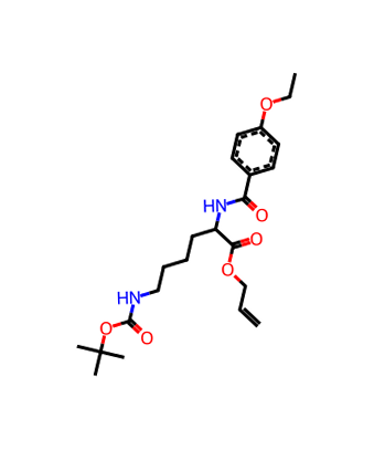 C=CCOC(=O)C(CCCCNC(=O)OC(C)(C)C)NC(=O)c1ccc(OCC)cc1